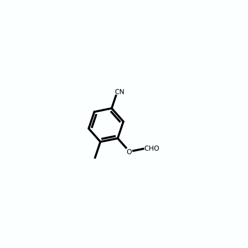 Cc1ccc(C#N)cc1OC=O